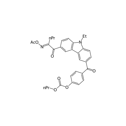 CCCOC(=O)Oc1ccc(C(=O)c2ccc3c(c2)c2cc(C(=O)/C(CCC)=N/OC(C)=O)ccc2n3CC)cc1